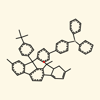 CC1=CC=C2c3ccc4c(c3C(C)(C)C2C1)C(c1ccc(-c2ccc(N(c3ccccc3)c3ccccc3)cc2)cc1)(c1ccc(C(C)(C)C)cc1)c1cc(C)ccc1-4